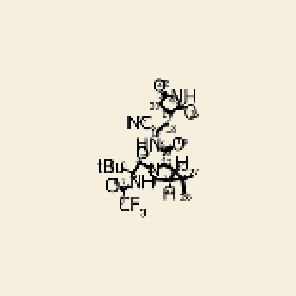 CC(C)(C)[C@H](NC(=O)C(F)(F)F)C(=O)N1C[C@H]2[C@@H]([C@H]1C(=O)N[C@H](C#N)C[C@@H]1CC(=O)NC1=O)C2(C)C